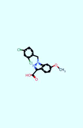 COc1ccc2c(C(=O)O)nn(Cc3ccc(Cl)cc3Cl)c2c1